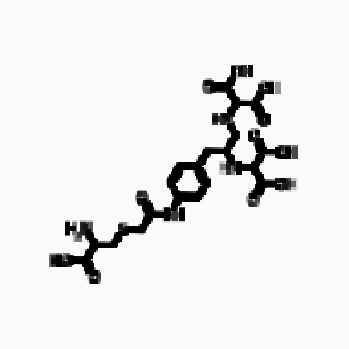 NC(CSCC(=O)Nc1ccc(CC(CNC(C(=O)O)C(=O)O)NC(C(=O)O)C(=O)O)cc1)C(=O)O